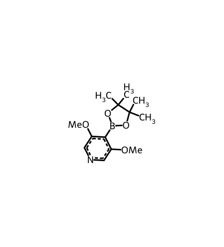 COc1cncc(OC)c1B1OC(C)(C)C(C)(C)O1